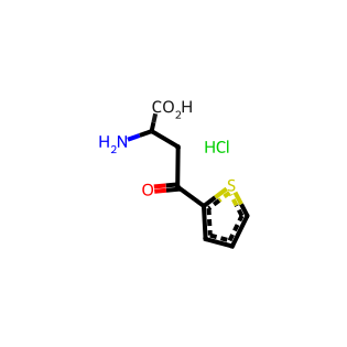 Cl.NC(CC(=O)c1cccs1)C(=O)O